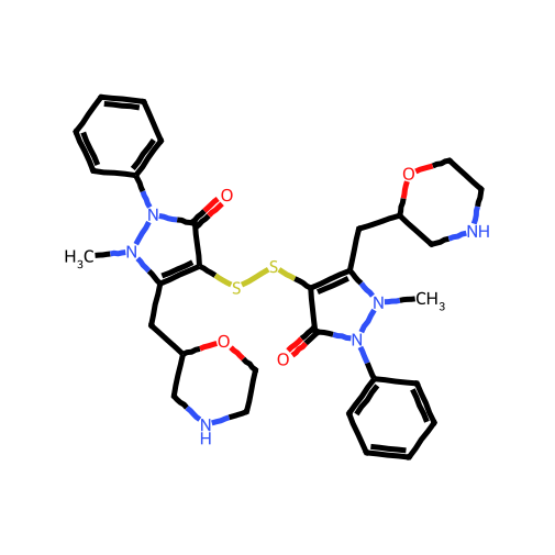 Cn1c(CC2CNCCO2)c(SSc2c(CC3CNCCO3)n(C)n(-c3ccccc3)c2=O)c(=O)n1-c1ccccc1